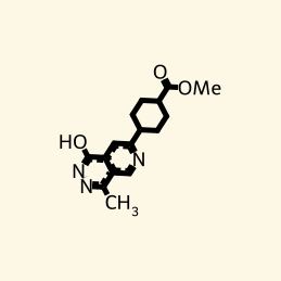 COC(=O)C1CCC(c2cc3c(O)nnc(C)c3cn2)CC1